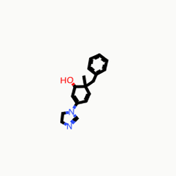 CC1(Cc2ccccc2)C=CC(N2C=NCC2)=CC1O